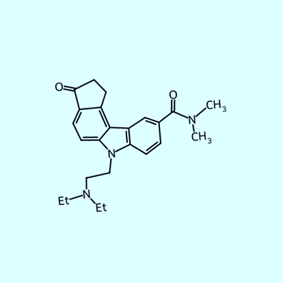 CCN(CC)CCn1c2ccc(C(=O)N(C)C)cc2c2c3c(ccc21)C(=O)CC3